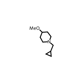 COC1CCN(CC2CC2)CC1